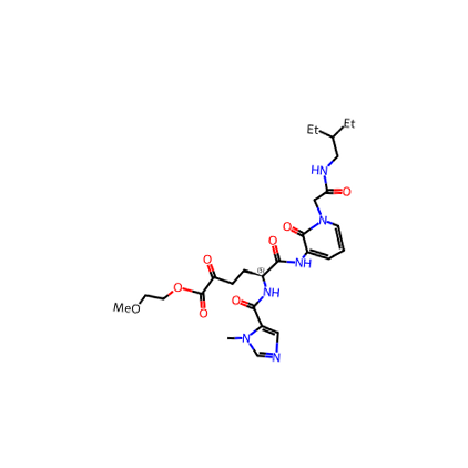 CCC(CC)CNC(=O)Cn1cccc(NC(=O)[C@H](CCC(=O)C(=O)OCCOC)NC(=O)c2cncn2C)c1=O